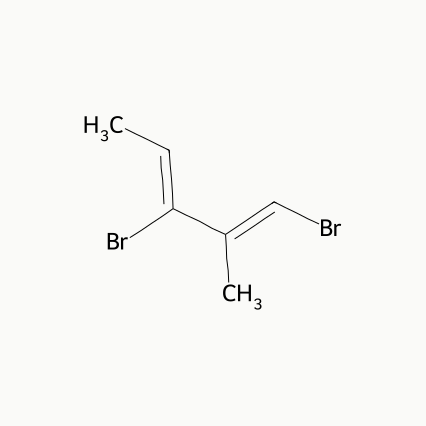 CC=C(Br)C(C)=CBr